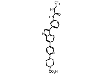 O=C(NCC(F)(F)F)Nc1cccc(-c2cnc3cc(-c4ccc(N5CCN(C(=O)O)CC5)nc4)cnn23)c1